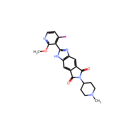 COc1nccc(I)c1-c1nc2cc3c(cc2[nH]1)C(=O)N(C1CCN(C)CC1)C3=O